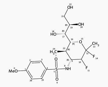 COc1ccc(S(=O)(=O)N[C@H]2C(F)C(C)(F)O[C@@H]([C@H](O)[C@H](O)CO)[C@@H]2C)cc1